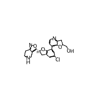 OCC1Cc2nccc(-c3cc(Cl)cc4c3O[C@@H](c3onc5c3CNCC5)C4)c2O1